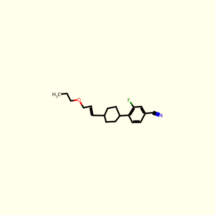 CCCOC/C=C/C1CCC(c2ccc(C#N)cc2F)CC1